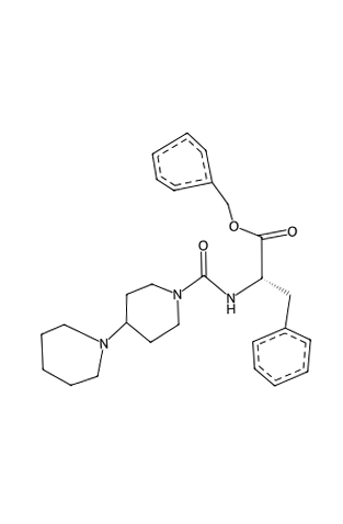 O=C(OCc1ccccc1)[C@H](Cc1ccccc1)NC(=O)N1CCC(N2CCCCC2)CC1